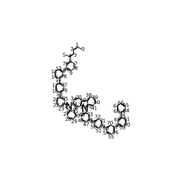 C/C=C\C=C(/C)c1cccc(-c2cccc(-c3ccc(-c4cccc(-n5c6ccccc6c6c5ccc5c7ccccc7n(-c7cccc(-c8ccc(-c9cccc(-c%10cccc(-c%11ccccc%11)c%10)c9)cc8)c7)c56)c4)cc3)c2)c1